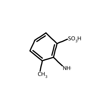 Cc1cccc(S(=O)(=O)O)c1[NH]